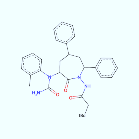 Cc1ccccc1N(C(N)=O)C1CC(c2ccccc2)CC(c2ccccc2)N(NC(=O)CC(C)(C)C)C1=O